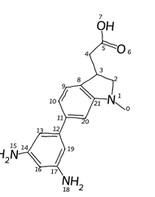 CN1CC(CC(=O)O)c2ccc(-c3cc(N)cc(N)c3)cc21